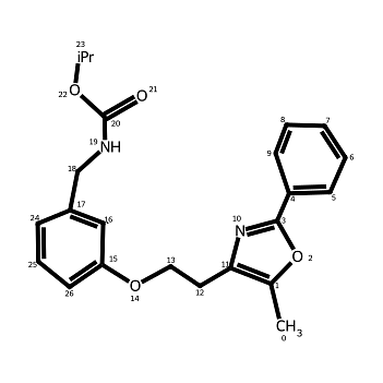 Cc1oc(-c2ccccc2)nc1CCOc1[c]c(CNC(=O)OC(C)C)ccc1